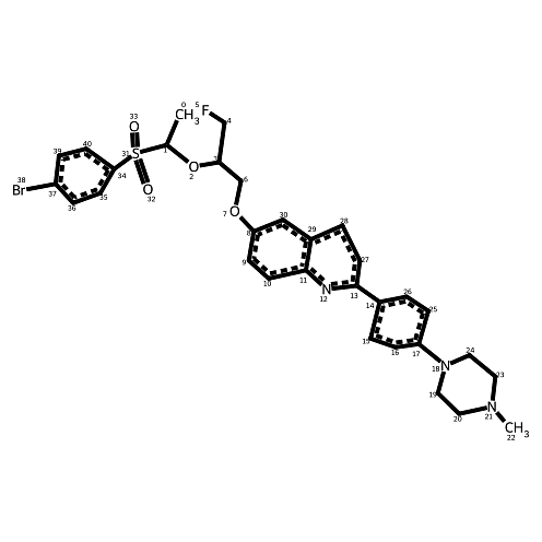 CC(OC(CF)COc1ccc2nc(-c3ccc(N4CCN(C)CC4)cc3)ccc2c1)S(=O)(=O)c1ccc(Br)cc1